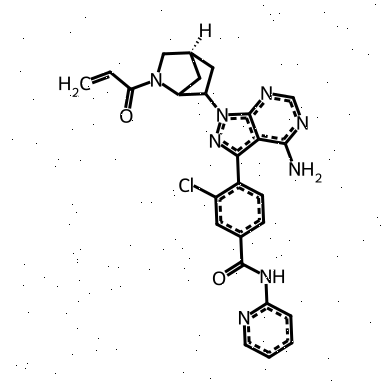 C=CC(=O)N1C[C@@H]2CC1C(n1nc(-c3ccc(C(=O)Nc4ccccn4)cc3Cl)c3c(N)ncnc31)C2